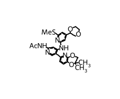 CSc1cc(C2COCCO2)cc(Nc2cc(NC(C)=O)ncc2-c2ccc3c(n2)OCC(C)(C)O3)n1